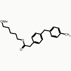 COCCCCCOC(=O)Cc1ccc(Cc2ccc(C)cc2)cc1